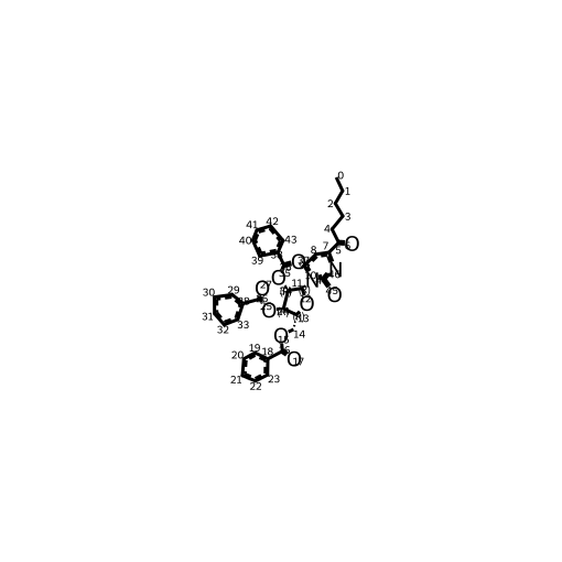 CCCCCC(=O)c1ccn([C@@H]2O[C@H](COC(=O)c3ccccc3)[C@@H](OC(=O)c3ccccc3)[C@H]2OC(=O)c2ccccc2)c(=O)n1